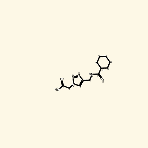 O=C(O)Cn1cc(CNC(=O)C2CCCCC2)nn1